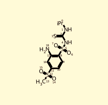 CC(C)NC(=S)NS(=O)(=O)c1ccc(S(C)(=O)=O)cc1N